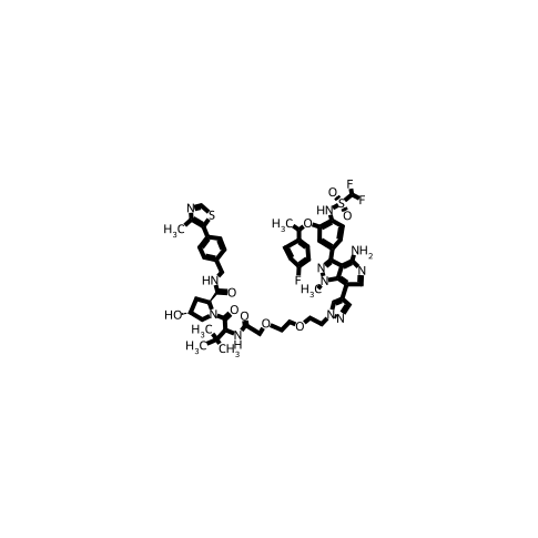 Cc1ncsc1-c1ccc(CNC(=O)[C@@H]2C[C@@H](O)CN2C(=O)C(NC(=O)COCCOCCn2cc(-c3cnc(N)c4c(-c5ccc(NS(=O)(=O)C(F)F)c(OC(C)c6ccc(F)cc6)c5)nn(C)c34)cn2)C(C)(C)C)cc1